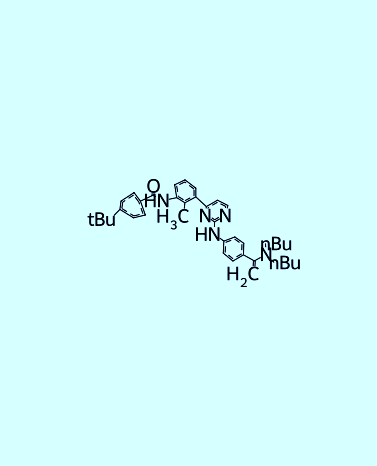 C=C(c1ccc(Nc2nccc(-c3cccc(NC(=O)c4ccc(C(C)(C)C)cc4)c3C)n2)cc1)N(CCCC)CCCC